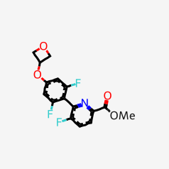 COC(=O)c1ccc(F)c(-c2c(F)cc(OC3COC3)cc2F)n1